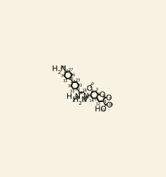 COc1cc2oc(=O)c(C(=O)O)cc2cc1N(N)/C=C(\N)c1ccc(-c2ccc(N)cc2)cc1